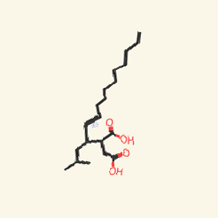 CCCCCCCCC/C=C/C(CC(C)C)C(CC(=O)O)C(=O)O